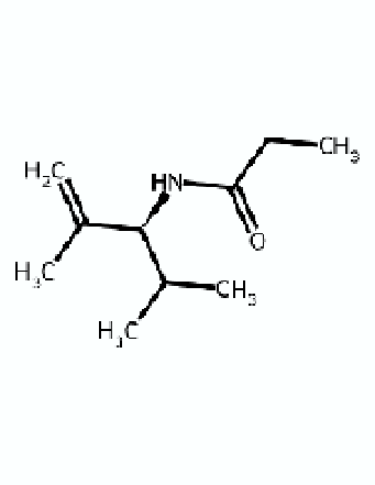 C=C(C)[C@@H](NC(=O)CC)C(C)C